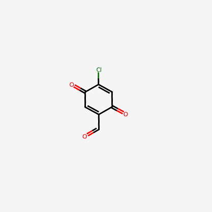 O=CC1=CC(=O)C(Cl)=CC1=O